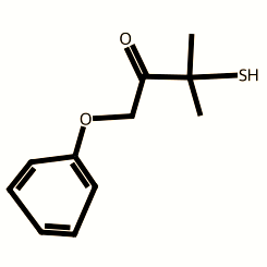 CC(C)(S)C(=O)COc1ccccc1